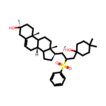 C[C@H](C(CC1(O)CCC(C)(C)CC1)S(=O)(=O)c1ccccc1)[C@H]1CCC2[C@@H]3CC=C4C[C@@](C)(O)CC[C@]4(C)C3CC[C@@]21C